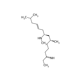 CCC(=N)CCC[C@H](C)C[C@H](C/C=C/CC(C)C)NC